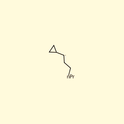 [CH2]CCCC[CH]C1CC1